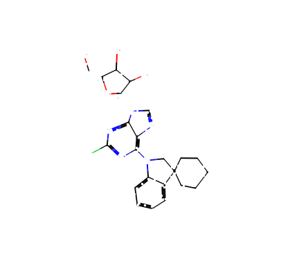 OC[C@H]1O[C@@H](n2cnc3c(N4CC5(CCCCC5)c5ccccc54)nc(Cl)nc32)C(O)C1O